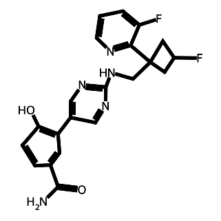 NC(=O)c1ccc(O)c(-c2cnc(NCC3(c4ncccc4F)CC(F)C3)nc2)c1